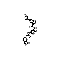 Cc1ncc(NC(=O)CN2CCc3cnn(C)c3C2)cc1NC(=O)c1cnn2cc(-c3cnn(C)c3)sc12